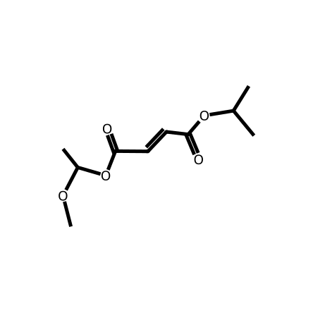 COC(C)OC(=O)C=CC(=O)OC(C)C